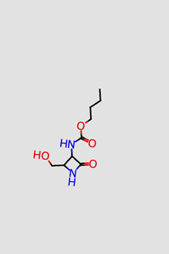 CCCCOC(=O)NC1C(=O)NC1CO